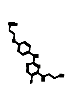 COCCOc1ccc(Nc2ncc(F)c(NCCC(C)C)n2)cc1